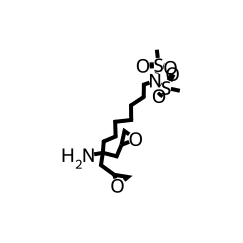 CS(=O)(=O)N(CCCCCCCC(N)(CC1CO1)CC1CO1)S(C)(=O)=O